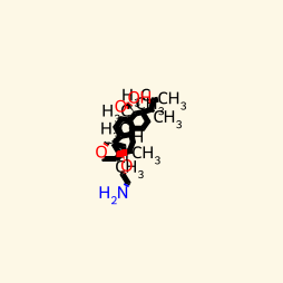 CC(C)[C@@H](C)[C@@]1(C)CC[C@]2(C)[C@H]3CC[C@@H]4[C@@]5(COC[C@]4(C)[C@@H](OCCN)[C@H](C)C5)C3=CC[C@@]2(C)[C@@H]1C(=O)O